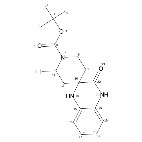 CC(C)(C)OC(=O)N1CCC2(CC1I)Nc1ccccc1NC2=O